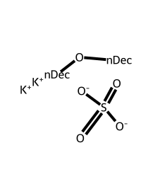 CCCCCCCCCCOCCCCCCCCCC.O=S(=O)([O-])[O-].[K+].[K+]